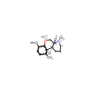 COc1ccc(C)c2c1OC[C@H]1[C@H]2CCCN1C.Cl